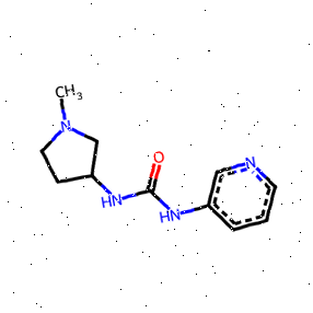 CN1CCC(NC(=O)Nc2cccnc2)C1